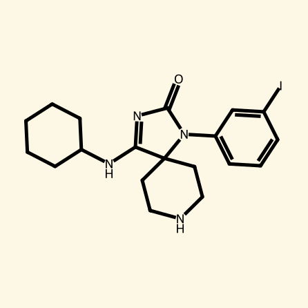 O=C1N=C(NC2CCCCC2)C2(CCNCC2)N1c1cccc(I)c1